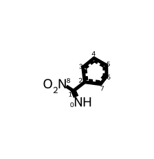 N=C(c1ccccc1)[N+](=O)[O-]